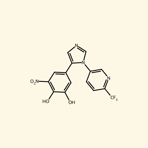 O=[N+]([O-])c1cc(-c2cncn2-c2ccc(C(F)(F)F)nc2)cc(O)c1O